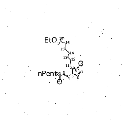 CCCCCC(=O)/C=C/[C@H]1C=CC(=O)[C@H]1CCCCCCC(=O)OCC